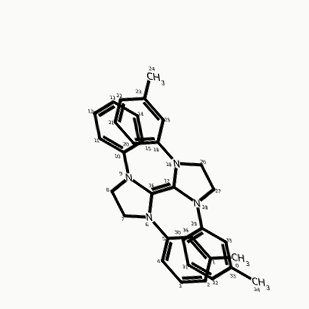 Cc1cccc(N2CCN(c3ccccc3)C2=C2N(c3cccc(C)c3)CCN2c2cccc(C)c2)c1